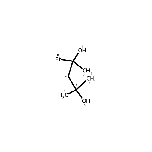 CCC(C)(O)CC(C)(C)O